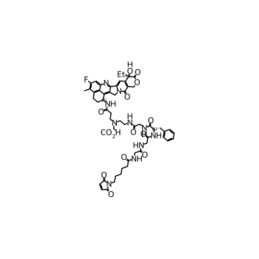 CC[C@@]1(O)C(=O)OCc2c1cc1n(c2=O)Cc2c-1nc1cc(F)c(C)c3c1c2[C@@H](NC(=O)CCN(CCNC(=O)CNC(=O)[C@H](Cc1ccccc1)NC(=O)CNC(=O)CNC(=O)CCCCCN1C(=O)C=CC1=O)CC(=O)O)CC3